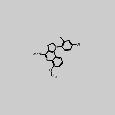 CNc1nc2c(OC(F)(F)F)cccc2c2c1CCN2c1ccc(O)cc1C